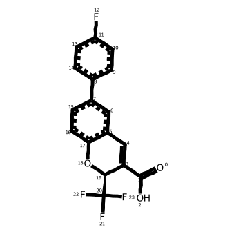 O=C(O)C1=Cc2cc(-c3ccc(F)cc3)ccc2O[C@@H]1C(F)(F)F